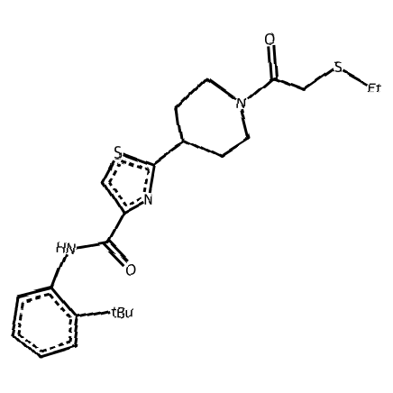 CCSCC(=O)N1CCC(c2nc(C(=O)Nc3ccccc3C(C)(C)C)cs2)CC1